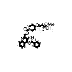 COC(C)(C)CCOC1CCN(C(=O)OCc2nc3ccccc3c(OCc3ccccc3)c2C)CC1